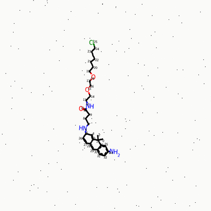 CC1(C)C2=CC(NCCCC(=O)NCCOCCOCCCCCCCl)C=CC2=Cc2ccc(N)cc21